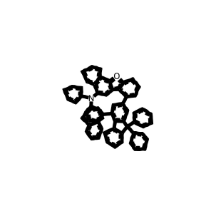 c1ccc(N(c2ccccc2)c2cc3c(oc4cccc(-c5cc(-c6cccc7ccccc67)c6c(c5)C(c5ccccc5)(c5ccccc5)c5ccccc5-6)c43)c3ccccc23)cc1